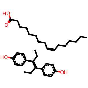 CC/C(=C(/CC)c1ccc(O)cc1)c1ccc(O)cc1.CCCCCC/C=C\CCCCCCCC(=O)O